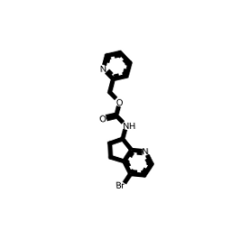 O=C(NC1CCc2c(Br)ccnc21)OCc1ccccn1